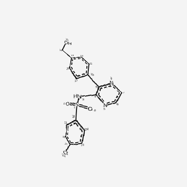 O=S(=O)(Nc1nccnc1-c1ccc(CO)cc1)c1ccc(Cl)cc1